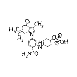 Cc1cn(-c2ccc(C(N)=O)c(NC3CCC(OS(=O)(=O)O)CC3)c2)c2c1C(=O)CC(C)(C)C2